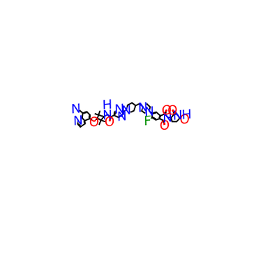 CC1(C)C(NC(=O)c2cnc(N3CCC(CN4CCN(c5cc6c(cc5F)C(=O)N(C5CCC(=O)NC5=O)C6=O)CC4)CC3)nc2)C(C)(C)C1Oc1ccc(C#N)c2ncccc12